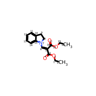 CCOC(=O)C(=CN1CCc2ccccc21)C(=O)OCC